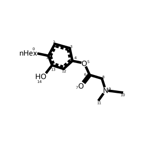 CCCCCCc1ccc(OC(=O)CN(C)C)cc1O